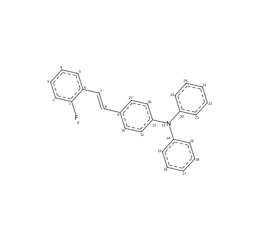 Fc1ccccc1C=Cc1ccc(N(c2ccccc2)c2ccccc2)cc1